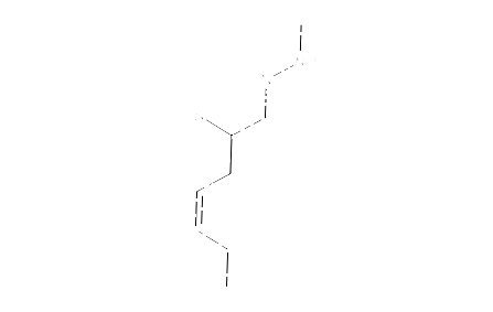 CC/C=C\CC(N)CNNC